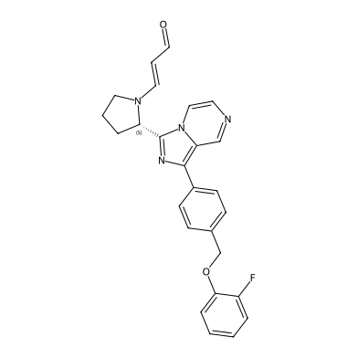 O=CC=CN1CCC[C@H]1c1nc(-c2ccc(COc3ccccc3F)cc2)c2cnccn12